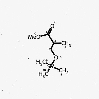 COC(=O)C(C)CO[Si](C)(C)C